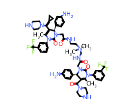 CC1=C(C(=O)N2CCNCC2)[C@@H](c2ccc(N)cc2)N(CC(=O)NC[N+](C)(C)CCNC(=O)CN2C(=O)N(c3cccc(C(F)(F)F)c3)C(C)=C(C(=C3CC3)N3CCNCC3)[C@H]2c2ccc(N)cc2)C(=O)N1c1cccc(C(F)(F)F)c1